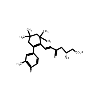 Cc1cc(C2=C(C=CC(=O)C[C@@H](O)CC(=O)O)C(C)(C)CC(C)(C)C2)ccc1F